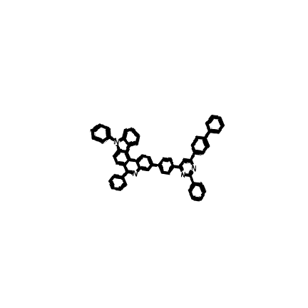 c1ccc(-c2ccc(-c3cc(-c4ccc(-c5ccc6c(c5)nc(-c5ccccc5)c5ccc7c(c8ccccc8n7-c7ccccc7)c56)cc4)nc(-c4ccccc4)n3)cc2)cc1